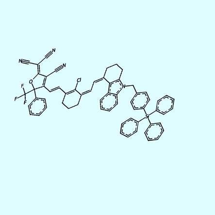 N#CC(C#N)=C1OC(c2ccccc2)(C(F)(F)F)C(/C=C/C2=C(Cl)C(=C\C=C3\CCCc4c3c3ccccc3n4Cc3ccc([Si](c4ccccc4)(c4ccccc4)c4ccccc4)cc3)/CCC2)=C1C#N